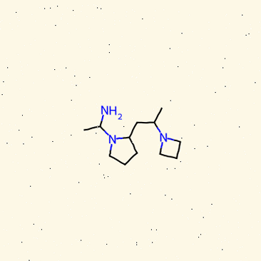 CC(CC1CCCN1C(C)N)N1CCC1